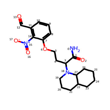 NC(=O)C(CCOc1cccc(C=O)c1[N+](=O)[O-])N1CCCC2CCCCC21